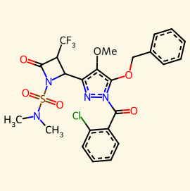 COc1c(C2C(C(F)(F)F)C(=O)N2S(=O)(=O)N(C)C)nn(C(=O)c2ccccc2Cl)c1OCc1ccccc1